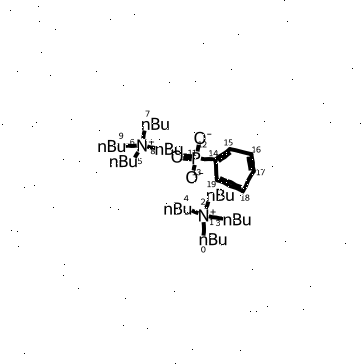 CCCC[N+](CCCC)(CCCC)CCCC.CCCC[N+](CCCC)(CCCC)CCCC.O=P([O-])([O-])c1ccccc1